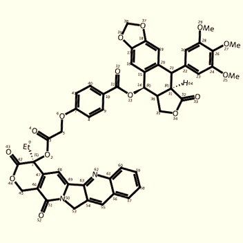 CC[C@@]1(OC(=O)COc2ccc(C(=O)O[C@H]3c4cc5c(cc4C(c4cc(OC)c(OC)c(OC)c4)[C@H]4C(=O)OCC43)OCO5)cc2)C(=O)OCc2c1cc1n(c2=O)Cc2cc3ccccc3nc2-1